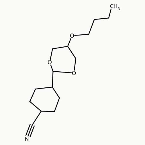 CCCCOC1COC(C2CCC(C#N)CC2)OC1